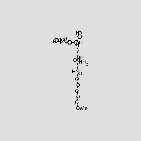 COCCOCCOCCOCCOCCOCCC(=O)NCCCCC(N)C(=O)NCCCCCCn1nc(-c2ccc(NC(=O)N3Cc4ccncc4C3)cc2)cc(-c2ccc3cccnc3c2)c1=O